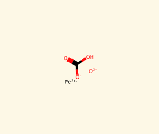 O=C([O-])O.[Fe+3].[O-2]